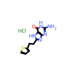 Cl.Nc1nc2nc(CCc3cccs3)[nH]c2c(=O)[nH]1